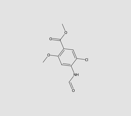 COC(=O)c1cc(Cl)c(NC=O)cc1OC